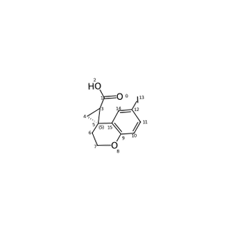 O=C(O)C1C[C@]12CCOc1ccc(I)cc12